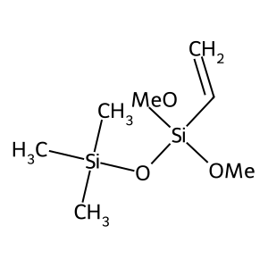 C=C[Si](OC)(OC)O[Si](C)(C)C